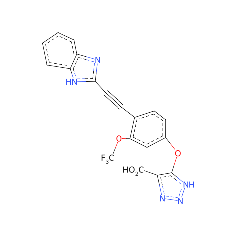 O=C(O)c1nn[nH]c1Oc1ccc(C#Cc2nc3ccccc3[nH]2)c(OC(F)(F)F)c1